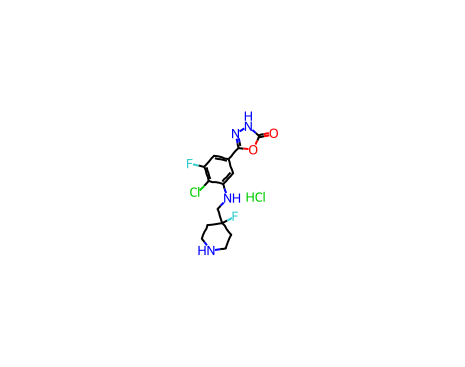 Cl.O=c1[nH]nc(-c2cc(F)c(Cl)c(NCC3(F)CCNCC3)c2)o1